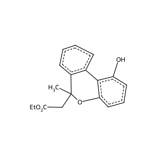 CCOC(=O)CC1(C)Oc2cccc(O)c2-c2ccccc21